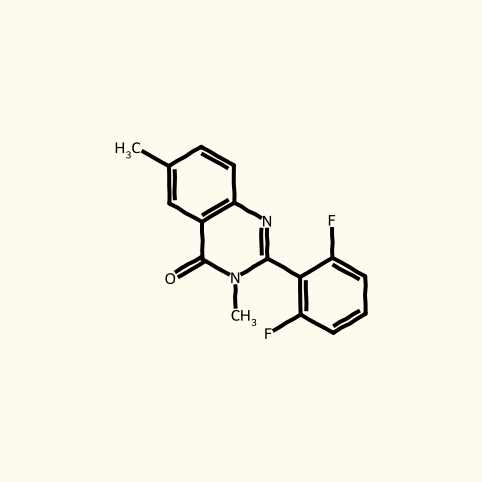 Cc1ccc2nc(-c3c(F)cccc3F)n(C)c(=O)c2c1